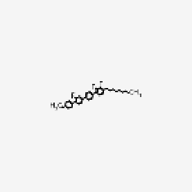 C=CC1CC=C(c2ccc(-c3ccc(-c4ccc(CCCCCCCCC)c(F)c4F)cc3)cc2F)CC1